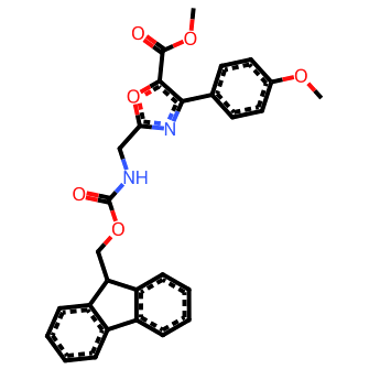 COC(=O)c1oc(CNC(=O)OCC2c3ccccc3-c3ccccc32)nc1-c1ccc(OC)cc1